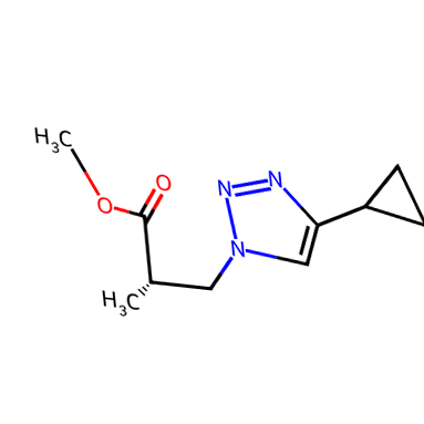 COC(=O)[C@@H](C)Cn1cc(C2CC2)nn1